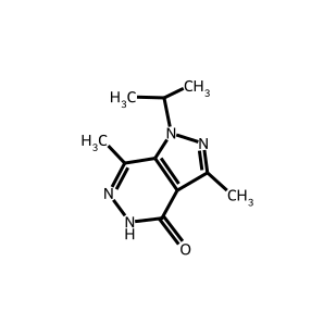 Cc1nn(C(C)C)c2c(C)n[nH]c(=O)c12